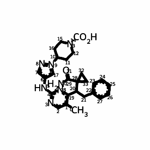 Cc1cnc(Nc2cnn(C3CCN(C(=O)O)CC3)c2)nc1C(Cc1ccccc1)C1(C(N)=O)CC1